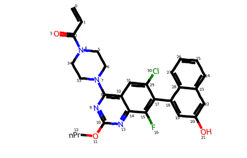 C=CC(=O)N1CCN(c2nc(OCCC)nc3c(F)c(-c4cc(O)cc5ccccc45)c(Cl)cc23)CC1